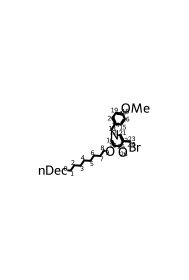 CCCCCCCCCCCCCCCCCCOc1cn(Cc2ccc(OC)cc2)cc(CBr)c1=O